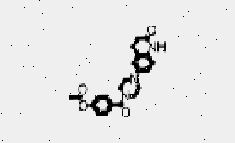 CC(=O)Oc1ccc(C(=O)N2CCN(c3ccc4c(c3)CCC(=O)N4)CC2)cc1